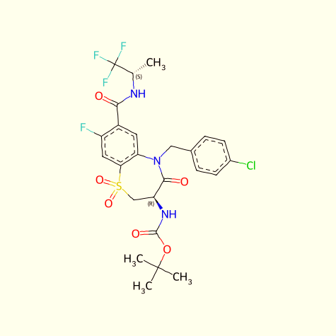 C[C@H](NC(=O)c1cc2c(cc1F)S(=O)(=O)C[C@H](NC(=O)OC(C)(C)C)C(=O)N2Cc1ccc(Cl)cc1)C(F)(F)F